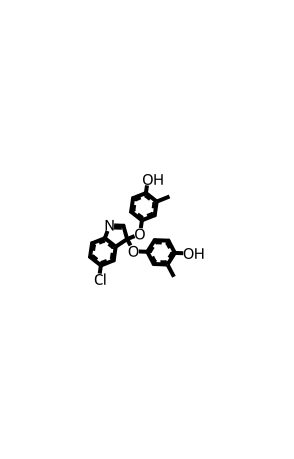 Cc1cc(OC2(Oc3ccc(O)c(C)c3)C=Nc3ccc(Cl)cc32)ccc1O